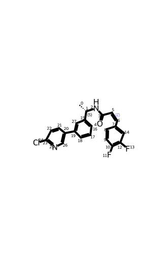 C[C@H](NC(=O)/C=C\c1ccc(F)c(F)c1)c1cccc(-c2ccc(Cl)nc2)c1